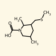 CSCC1CC(C)CN(C(=O)O)C1C